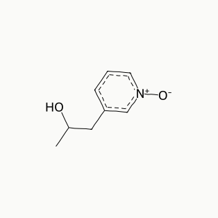 CC(O)Cc1ccc[n+]([O-])c1